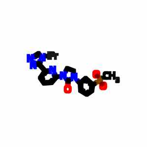 CC(C)n1cnnc1-c1cccc(N2CCN(c3cccc(S(C)(=O)=O)c3)C2=O)n1